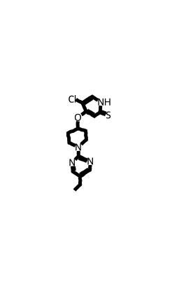 CCc1cnc(N2CCC(Oc3cc(=S)[nH]cc3Cl)CC2)nc1